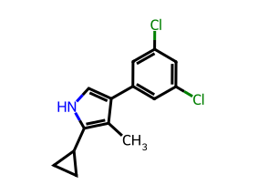 Cc1c(-c2cc(Cl)cc(Cl)c2)c[nH]c1C1CC1